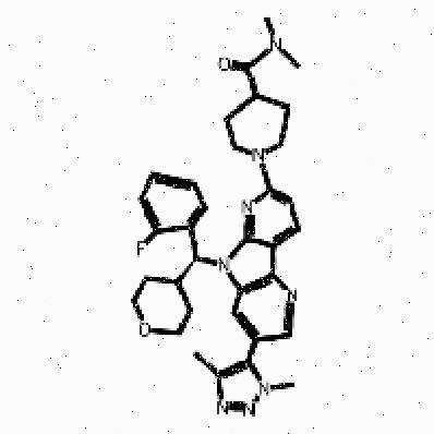 Cc1nnn(C)c1-c1cnc2c3ccc(N4CCC(C(=O)N(C)C)CC4)nc3n([C@H](c3ccccc3F)C3CCOCC3)c2c1